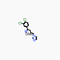 CO/N=C(\CCCn1ccnc1)c1ccc(Cl)c(Cl)c1